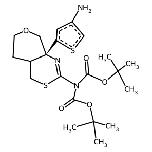 CC(C)(C)OC(=O)N(C(=O)OC(C)(C)C)C1=N[C@@]2(c3cc(N)cs3)COCCC2CS1